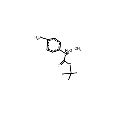 Bc1ccc(NC(=O)OC(C)(C)C)cc1.O.O